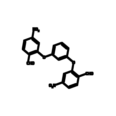 O=Cc1ccc([N+](=O)[O-])cc1Oc1cccc(Oc2cc([N+](=O)[O-])ccc2C=O)c1